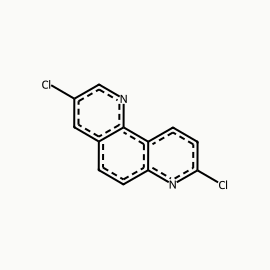 Clc1cnc2c(ccc3nc(Cl)ccc32)c1